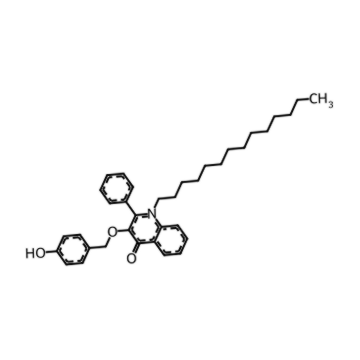 CCCCCCCCCCCCCCn1c(-c2ccccc2)c(OCc2ccc(O)cc2)c(=O)c2ccccc21